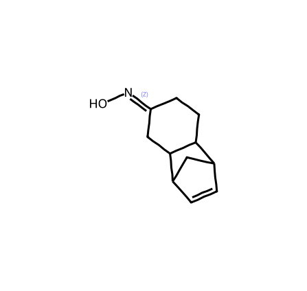 O/N=C1/CCC2C3C=CC(C3)C2C1